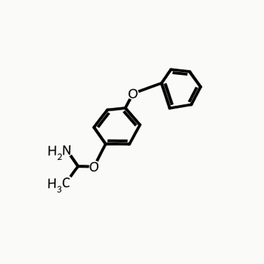 CC(N)Oc1ccc(Oc2ccccc2)cc1